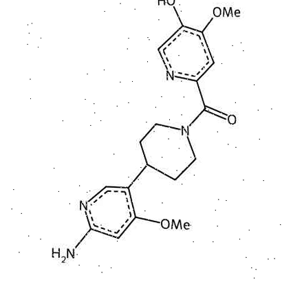 COc1cc(C(=O)N2CCC(c3cnc(N)cc3OC)CC2)ncc1O